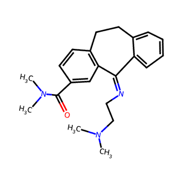 CN(C)CCN=C1c2ccccc2CCc2ccc(C(=O)N(C)C)cc21